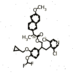 COc1ccc2cc([C@H](C)C(=O)OCC(Cc3c(Cl)cncc3Cl)c3ccc(OC(F)F)c(OCC4CC4)c3)ccc2c1